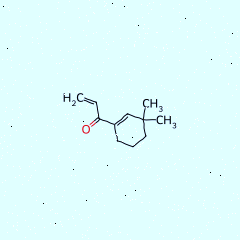 C=CC(=O)C1=CC(C)(C)CCC1